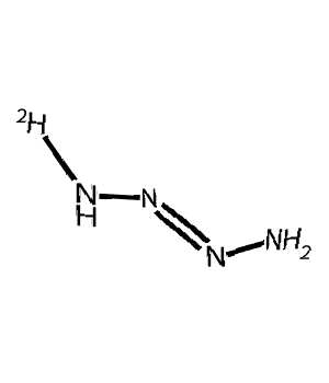 [2H]N/N=N/N